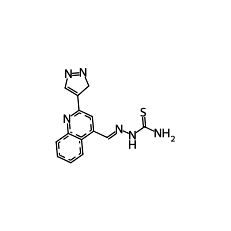 NC(=S)N/N=C/c1cc(C2=CN=NC2)nc2ccccc12